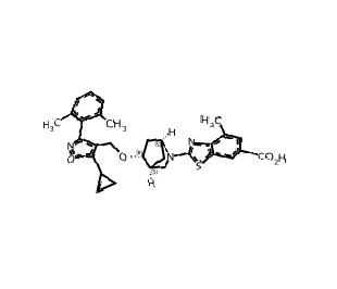 Cc1cccc(C)c1-c1noc(C2CC2)c1CO[C@@H]1C[C@@H]2C[C@H]1CN2c1nc2c(C)cc(C(=O)O)cc2s1